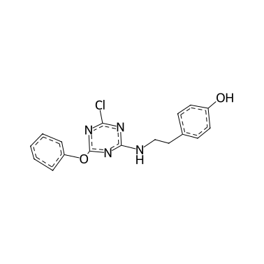 Oc1ccc(CCNc2nc(Cl)nc(Oc3ccccc3)n2)cc1